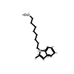 CCCCCCCCCCCCCCCCCCn1c(C)cc2ccccc21